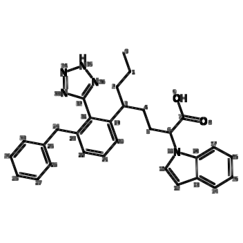 CCCC(CCC(C(=O)O)n1ccc2ccccc21)c1cccc(Cc2ccccc2)c1-c1nn[nH]n1